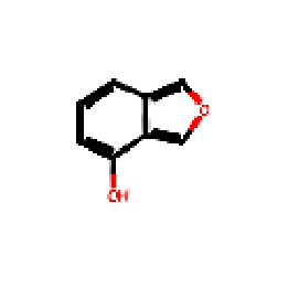 Oc1cccc2cocc12